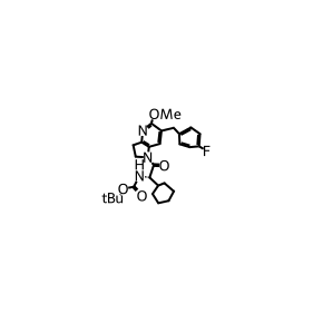 COc1nc2c(cc1Cc1ccc(F)cc1)N(C(=O)[C@@H](NC(=O)OC(C)(C)C)C1CCCCC1)CC2